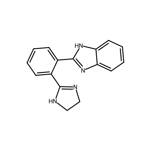 c1ccc(-c2nc3ccccc3[nH]2)c(C2=NCCN2)c1